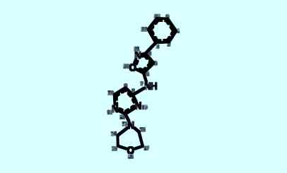 c1ccc(-c2cc(Nc3ccnc(N4CCOCC4)n3)on2)cc1